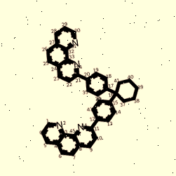 c1cnc2c(c1)ccc1ccc(-c3ccc(C4(c5ccc(-c6ccc7ccc8cccnc8c7n6)cc5)CCCCC4)cc3)nc12